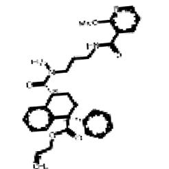 C=CCOC(=O)[C@]1(c2ccccc2)CC[C@@H](C(=O)N(C)CCCNC(=O)c2cccnc2OC)c2ccccc21